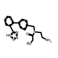 CCC(C)CC(=O)N(CCN)Cc1ccc(-c2ccccc2-c2nnn[nH]2)cc1